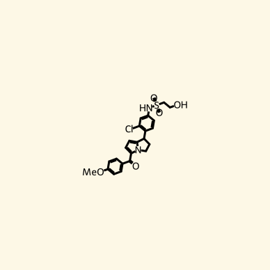 COc1ccc(C(=O)c2ccc3n2CCC3c2ccc(NS(=O)(=O)CCO)cc2Cl)cc1